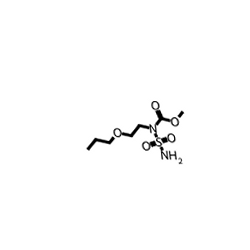 CCCOCCN(C(=O)OC)S(N)(=O)=O